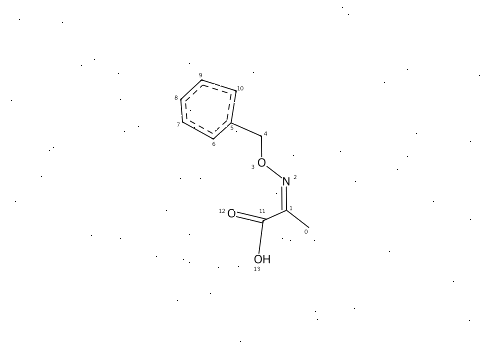 CC(=NOCc1ccccc1)C(=O)O